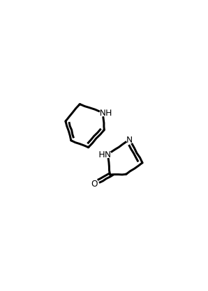 C1=CCNC=C1.O=C1CC=NN1